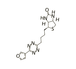 O=C1N[C@H]2[C@H](CS[C@H]2CCCCc2nnc(-c3ccoc3)nn2)N1